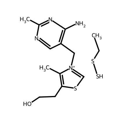 CCSS.Cc1ncc(C[n+]2csc(CCO)c2C)c(N)n1